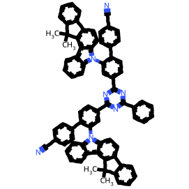 CC1(C)c2ccccc2-c2ccc3c(c21)c1ccccc1n3-c1cc(-c2nc(-c3ccccc3)nc(-c3ccc(-c4ccc(C#N)cc4)c(-n4c5ccccc5c5c6c(ccc54)-c4ccccc4C6(C)C)c3)n2)ccc1-c1ccc(C#N)cc1